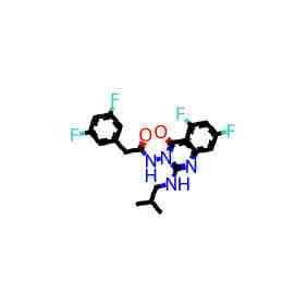 CC(C)CNc1nc2cc(F)cc(F)c2c(=O)n1NC(=O)Cc1cc(F)cc(F)c1